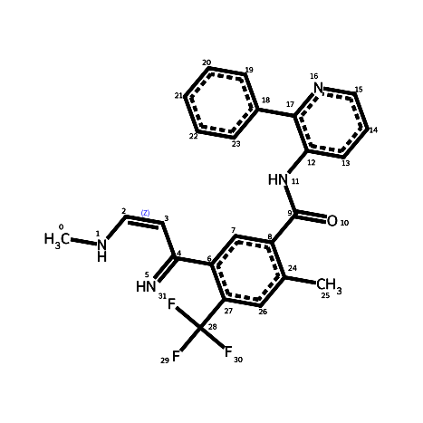 CN/C=C\C(=N)c1cc(C(=O)Nc2cccnc2-c2ccccc2)c(C)cc1C(F)(F)F